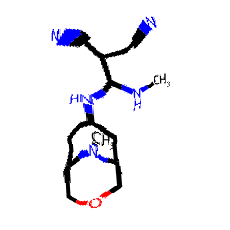 CNC(NC1CC2COCC(C1)N2C)C(C#N)C#N